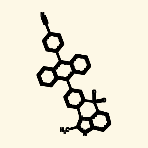 Cc1nc2cccc3c2n1-c1ccc(-c2c4ccccc4c(-c4ccc(C#N)cc4)c4ccccc24)cc1S3(=O)=O